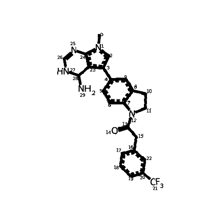 Cn1cc(-c2ccc3c(c2)CCN3C(=O)Cc2cccc(C(F)(F)F)c2)c2c1N=CNC2N